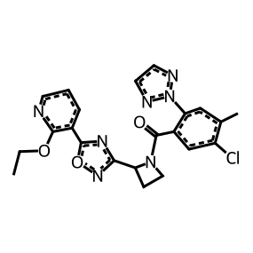 CCOc1ncccc1-c1nc(C2CCN2C(=O)c2cc(Cl)c(C)cc2-n2nccn2)no1